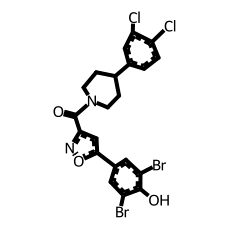 O=C(c1cc(-c2cc(Br)c(O)c(Br)c2)on1)N1CCC(c2ccc(Cl)c(Cl)c2)CC1